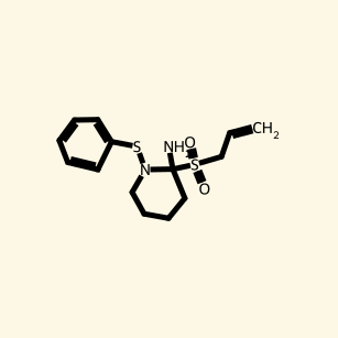 C=CCS(=O)(=O)C1(N)CCCCN1Sc1ccccc1